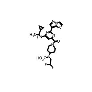 C[C@H](Nc1cc(C(=O)N2CCC(N(CC(F)F)C(=O)O)CC2)nc(-c2cnn3ccsc23)n1)C1CC1